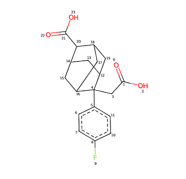 O=C(O)CC1(c2ccc(F)cc2)C2CC3CC1CC(C2)C3C(=O)O